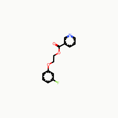 O=C(OCCOc1cccc(F)c1)c1cccnc1